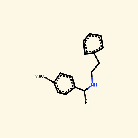 CC[C@H](NCCc1ccccc1)c1ccc(OC)cc1